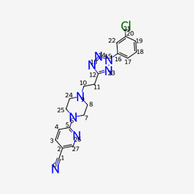 N#Cc1ccc(N2CCN(CCc3nnn(-c4cccc(Cl)c4)n3)CC2)nc1